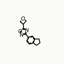 c1cc2c(cc1-c1noc(C3COC3)n1)CCC2